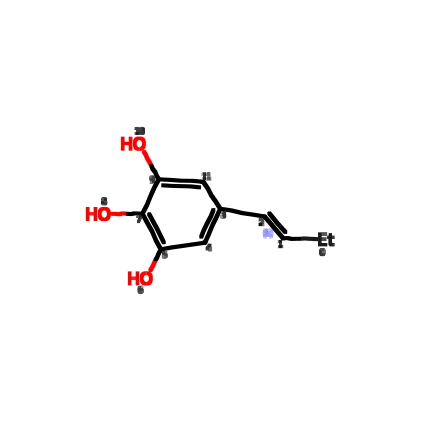 CC/C=C/c1cc(O)c(O)c(O)c1